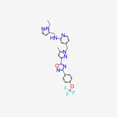 CCn1nccc1CNc1cc(Cn2nc(-c3nc(-c4ccc(OC(F)(F)F)cc4)no3)cc2C)ccn1